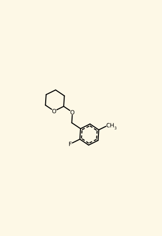 Cc1ccc(F)c(COC2CCCCO2)c1